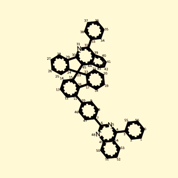 c1ccc(-c2nc(-c3ccc(-c4cccc5c4-c4ccccc4C54c5ccccc5-c5nc(-c6ccccc6)c6ccccc6c54)cc3)nc3ccccc23)cc1